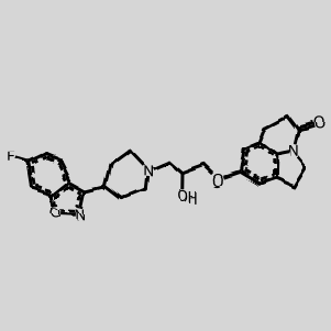 O=C1CCc2cc(OCC(O)CN3CCC(c4noc5cc(F)ccc45)CC3)cc3c2N1CC3